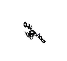 COC(=O)c1cc(-n2cc(-c3ccccc3)c(C)n2)ccc1NC(=O)/C=C(/C)c1ccc2ccccc2c1